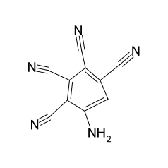 N#Cc1cc(N)c(C#N)c(C#N)c1C#N